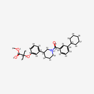 COC(=O)C(C)(C)Oc1cccc(C2CCCN(C(=O)c3cccc(C4CCCCC4)c3)C2)c1